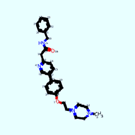 CN1CCN(CCOc2ccc(-c3ccc(CC(=O)NCc4ccccc4)nc3)cc2)CC1